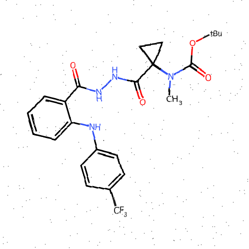 CN(C(=O)OC(C)(C)C)C1(C(=O)NNC(=O)c2ccccc2Nc2ccc(C(F)(F)F)cc2)CC1